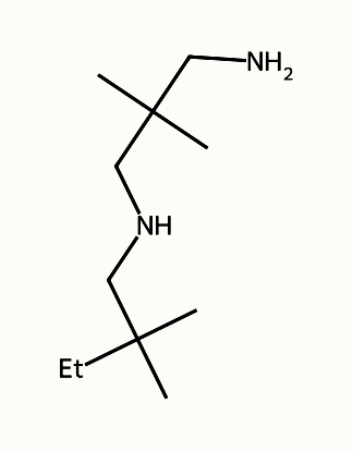 CCC(C)(C)CNCC(C)(C)CN